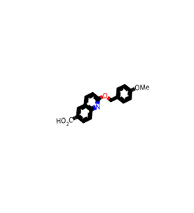 COc1ccc(COc2ccc3cc(C(=O)O)ccc3n2)cc1